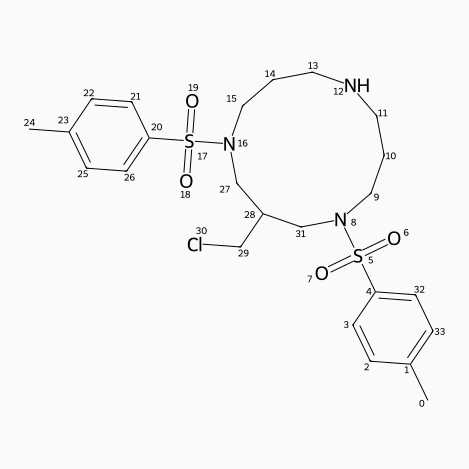 Cc1ccc(S(=O)(=O)N2CCCNCCCN(S(=O)(=O)c3ccc(C)cc3)CC(CCl)C2)cc1